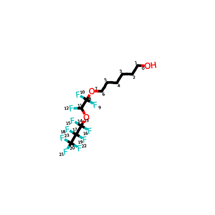 OCCCCCCOC(F)(F)C(F)OC(F)(F)C(F)(F)C(F)(F)F